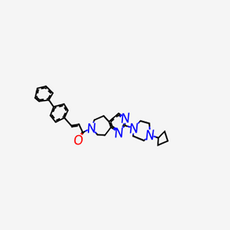 O=C(/C=C/c1ccc(-c2ccccc2)cc1)N1CCc2cnc(N3CCN(C4CCC4)CC3)nc2CC1